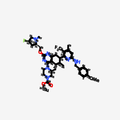 COc1ccc(CNc2cc(C)c(C(F)(F)F)c(C3Cc4nc(OC[C@@H]5C[C@@H](F)CN5C)nc(N5CCN(C(=O)OC(C)(C)C)C[C@@H]5C)c4CC3C)n2)cc1